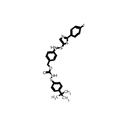 CC(C)(C)c1ccc(SNC(=O)OCc2ccc(NSc3cnc(-c4ccc(F)cc4)s3)cc2)cc1